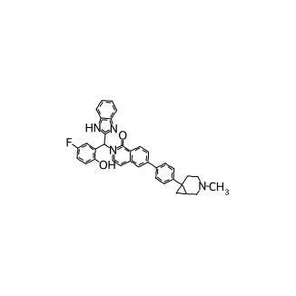 CN1CCC2(c3ccc(-c4ccc5c(=O)n(C(c6nc7ccccc7[nH]6)c6cc(F)ccc6O)ccc5c4)cc3)CC2C1